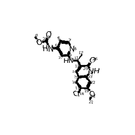 COC(=O)Nc1ccnc(N[C@@H](C)c2cc3cc(Cl)c(OC)cc3[nH]c2=O)c1